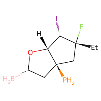 B[C@H]1C[C@@]2(P)C[C@](F)(CC)[C@@H](I)[C@H]2O1